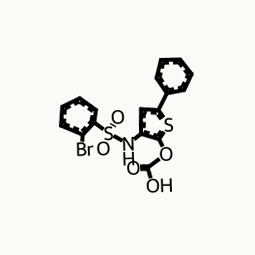 O=C(O)Oc1sc(-c2ccccc2)cc1NS(=O)(=O)c1ccccc1Br